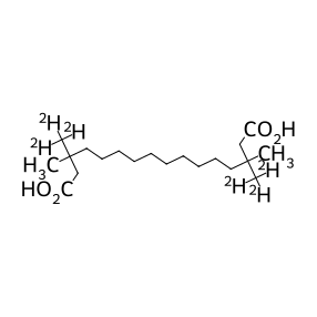 [2H]C([2H])([2H])C(C)(CCCCCCCCCCC(C)(CC(=O)O)C([2H])([2H])[2H])CC(=O)O